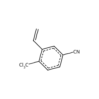 C=Cc1cc(C#N)ccc1C(Cl)(Cl)Cl